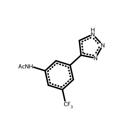 CC(=O)Nc1cc(-c2c[nH]nn2)cc(C(F)(F)F)c1